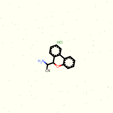 Cl.N#CC(N)C1Oc2ccccc2-c2ccccc21